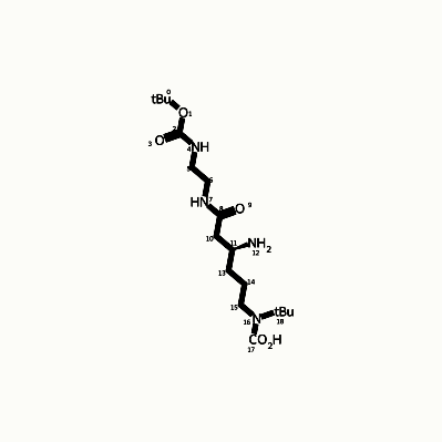 CC(C)(C)OC(=O)NCCNC(=O)C[C@@H](N)CCCN(C(=O)O)C(C)(C)C